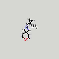 CC1(CN2CC3(CCOCC3)C2)CC1